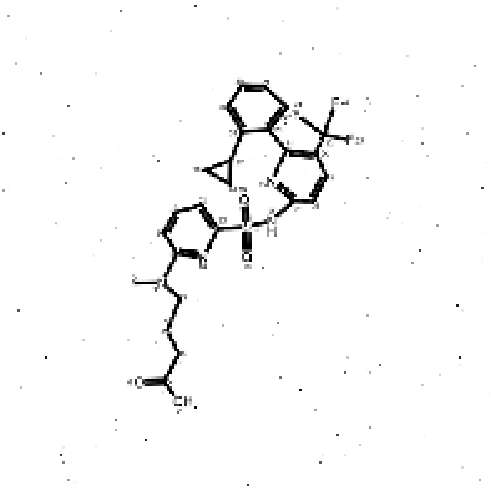 CN(CCCC(=O)O)c1cccc(S(=O)(=O)Nc2ccc(C(F)(F)F)c(-c3ccccc3C3CC3)n2)n1